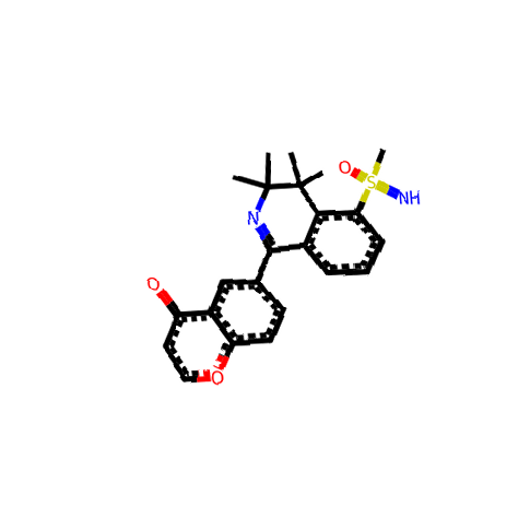 CC1(C)N=C(c2ccc3occc(=O)c3c2)c2cccc(S(C)(=N)=O)c2C1(C)C